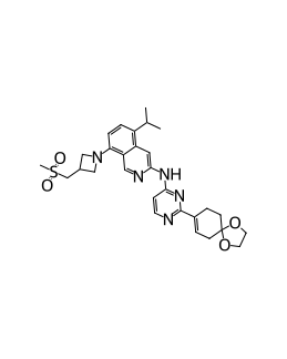 CC(C)c1ccc(N2CC(CS(C)(=O)=O)C2)c2cnc(Nc3ccnc(C4=CCC5(CC4)OCCO5)n3)cc12